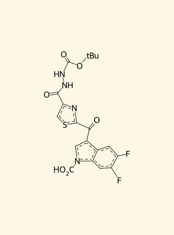 CC(C)(C)OC(=O)NNC(=O)c1csc(C(=O)c2cn(C(=O)O)c3cc(F)c(F)cc23)n1